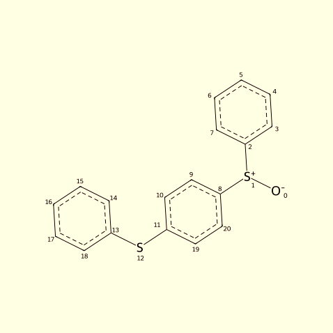 [O-][S+](c1ccccc1)c1ccc(Sc2ccccc2)cc1